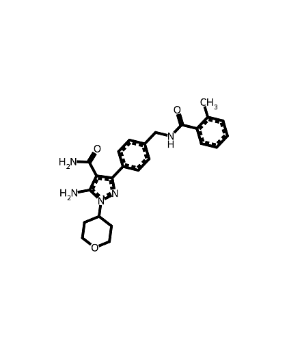 Cc1ccccc1C(=O)NCc1ccc(-c2nn(C3CCOCC3)c(N)c2C(N)=O)cc1